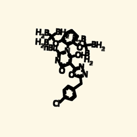 BC(B)(B)Oc1cccc(OC(B)(B)B)c1-n1c(CCCC)nc(=O)c(-c2nnc(Cc3ccc(Cl)cc3)o2)c1O